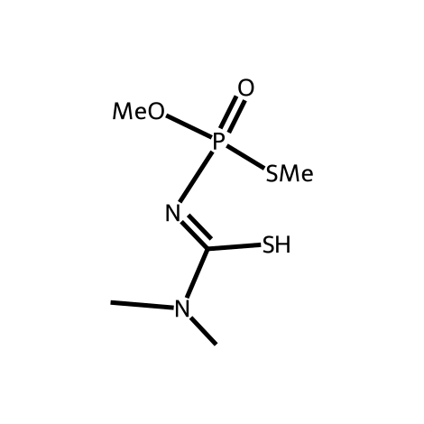 COP(=O)(N=C(S)N(C)C)SC